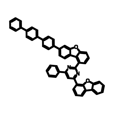 c1ccc(-c2ccc(-c3ccc(-c4ccc5c(c4)oc4cccc(-c6nc(-c7ccccc7)cc(-c7cccc8c7oc7ccccc78)n6)c45)cc3)cc2)cc1